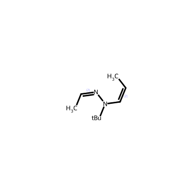 C/C=C\N(/N=C\C)C(C)(C)C